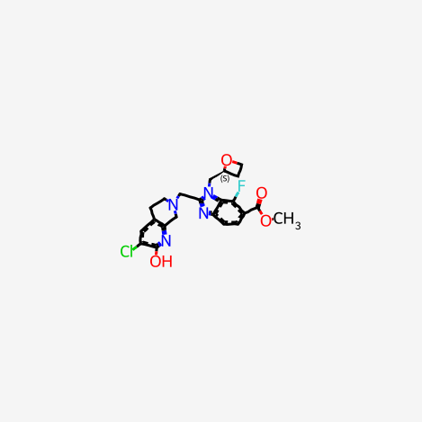 COC(=O)c1ccc2nc(CN3CCc4cc(Cl)c(O)nc4C3)n(C[C@@H]3CCO3)c2c1F